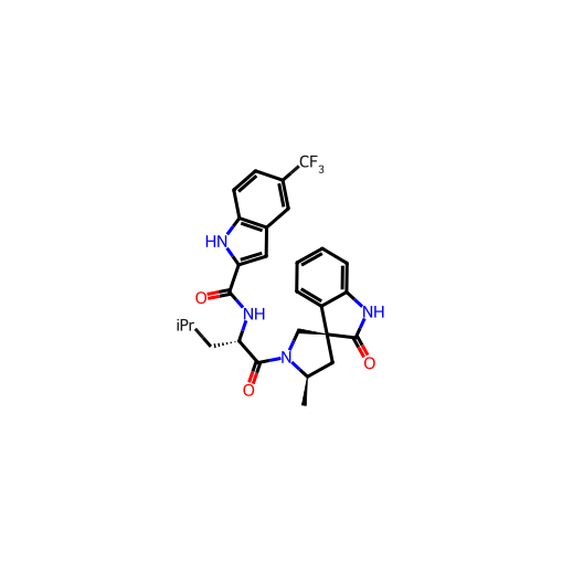 CC(C)C[C@H](NC(=O)c1cc2cc(C(F)(F)F)ccc2[nH]1)C(=O)N1C[C@]2(C[C@H]1C)C(=O)Nc1ccccc12